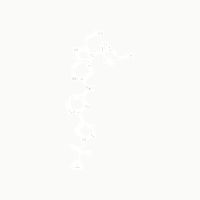 CC(C)(CCO)n1c(CO)nc2cnc(Nc3ccnc(-c4cnn(S(=O)(=O)C5CC5)c4)n3)cc21